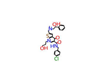 CN(Cc1cc2c(=O)c(C(=O)NCc3ccc(Cl)cc3)cn(CCCO)c2s1)C[C@H](O)c1ccccc1